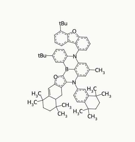 Cc1cc2c3c(c1)N(c1cccc4oc5c(C(C)(C)C)cccc5c14)c1ccc(C(C)(C)C)cc1B3c1oc3c(c1N2c1ccc2c(c1)C(C)(C)CCC2(C)C)CC1C(=C3)C(C)(C)CCC1(C)C